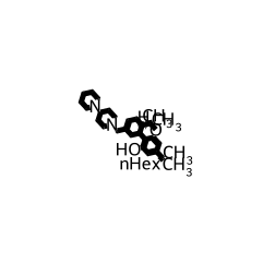 CCCCCCC(C)(C)c1cc(O)c2c(c1)OC(C)(C)[C@H]1CC=C(CN3CCC(N4CCCCC4)CC3)CC21